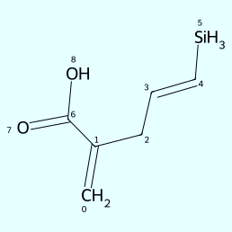 C=C(CC=C[SiH3])C(=O)O